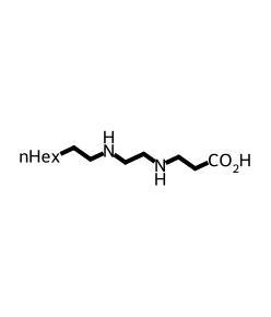 CCCCCCCCNCCNCCC(=O)O